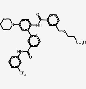 O=C(O)CCSCc1cccc(C(=O)Nc2ccc(N3CCCCC3)cc2-c2cc(C(=O)Nc3cccc(C(F)(F)F)c3)ccn2)c1